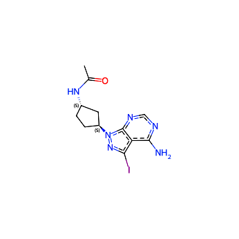 CC(=O)N[C@H]1CC[C@H](n2nc(I)c3c(N)ncnc32)C1